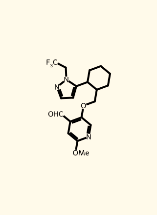 COc1cc(C=O)c(OCC2CCCCC2c2ccnn2CC(F)(F)F)cn1